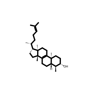 CC(C)=CCC[C@@H](C)[C@H]1CC[C@@]2(C)C3=C(CC[C@]12C)[C@@]1(C)CC[C@H](O)[C@@H](C)[C@@H]1CC3